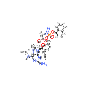 C#C[C@H]1C[C@@H](COP(=O)(N[C@@H](C)C(=O)OCC(C)(C)C)Oc2cccc3ccccc23)O[C@H]1n1cnc2c(N(C)C3CC3)nc(N)nc21